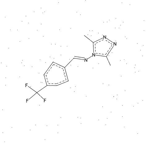 Cc1nnc(C)n1N=Cc1ccc(C(F)(F)F)cc1